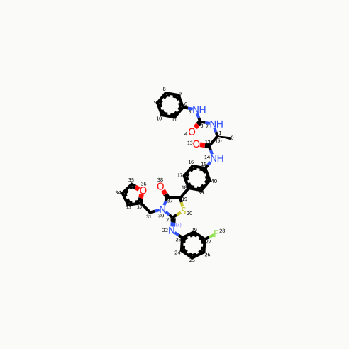 C[C@H](NC(=O)Nc1ccccc1)C(=O)Nc1ccc(C2S/C(=N\c3cccc(F)c3)N(Cc3ccco3)C2=O)cc1